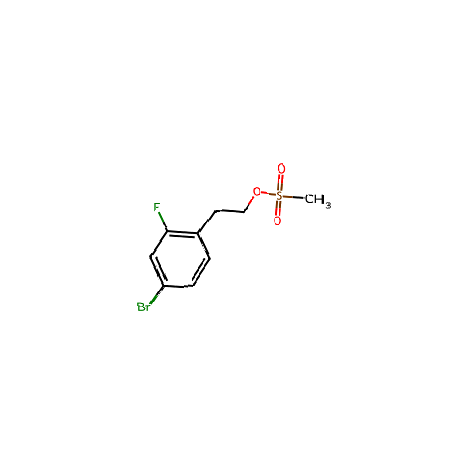 CS(=O)(=O)OCCc1ccc(Br)cc1F